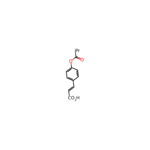 CC(C)C(=O)Oc1ccc(C=CC(=O)O)cc1